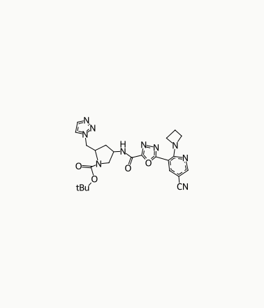 CC(C)(C)OC(=O)N1CC(NC(=O)c2nnc(-c3cc(C#N)cnc3N3CCC3)o2)CC1Cn1ccnn1